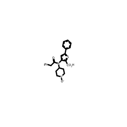 CC(C)CC(=O)N(c1cc(-c2ccccc2)sc1C(=O)O)C1CC[S+]([O-])CC1